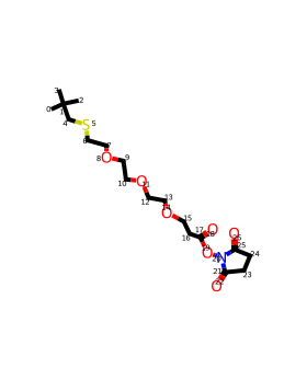 CC(C)(C)CSCCOCCOCCOCCC(=O)ON1C(=O)CCC1=O